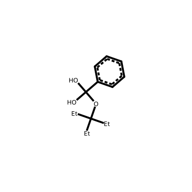 CCC(CC)(CC)OC(O)(O)c1ccccc1